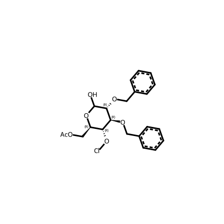 CC(=O)OC[C@H]1OC(O)[C@H](OCc2ccccc2)[C@@H](OCc2ccccc2)[C@@H]1OCl